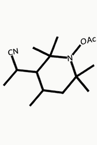 CC(=O)ON1C(C)(C)CC(C)C(C(C)C#N)C1(C)C